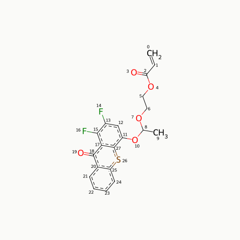 C=CC(=O)OCCOC(C)Oc1cc(F)c(F)c2c(=O)c3ccccc3sc12